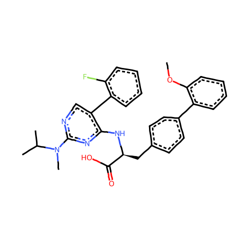 COc1ccccc1-c1ccc(C[C@H](Nc2nc(N(C)C(C)C)ncc2-c2ccccc2F)C(=O)O)cc1